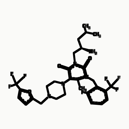 Cc1c(N2CCN(Cc3ccc(C(F)(F)F)o3)CC2)c(=O)n(C[C@H](N)CC(C)C)c(=O)n1Cc1c(F)cccc1C(F)(F)F